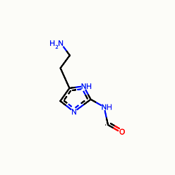 NCCc1cnc(N[C]=O)[nH]1